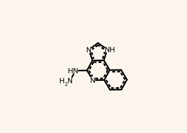 NNc1nc2ccccc2c2[nH]cnc12